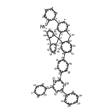 N#Cc1ccccc1-c1ccc2c(c1)C1(c3cc(-c4ccc(-c5nc(-c6ccccc6)nc(-c6ccccc6)n5)cc4)ccc3S2)c2ccccc2-c2ccccc21